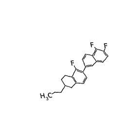 CCCC1CCc2c(ccc(-c3ccc4c(F)c(F)ccc4c3)c2F)C1